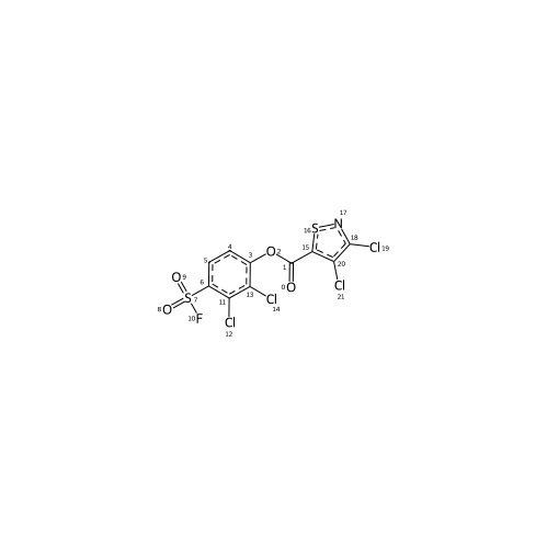 O=C(Oc1ccc(S(=O)(=O)F)c(Cl)c1Cl)c1snc(Cl)c1Cl